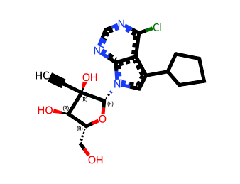 C#C[C@@]1(O)[C@H](O)[C@@H](CO)O[C@H]1n1cc(C2CCCC2)c2c(Cl)ncnc21